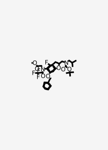 COC(=O)CN(C(=O)C(F)(F)F)c1c(OCc2ccccc2)cc2c(c1F)CC(CN(CC(C)C)C(=O)OC(C)(C)C)O2